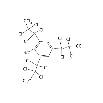 C[CH]c1c(C(Cl)(Cl)C(Cl)(Cl)C(Cl)(Cl)Cl)cc(C(Cl)(Cl)C(Cl)(Cl)C(Cl)(Cl)Cl)cc1C(Cl)(Cl)C(Cl)(Cl)C(Cl)(Cl)Cl